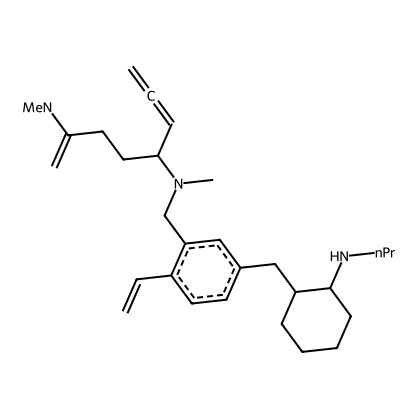 C=C=CC(CCC(=C)NC)N(C)Cc1cc(CC2CCCCC2NCCC)ccc1C=C